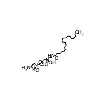 CC/C=C\C/C=C\C/C=C\C/C=C\C/C=C\CCCC(=O)NCCN(C[C@@H]1O[C@H](n2ccc(N)nc2=O)CS1)C(=O)O